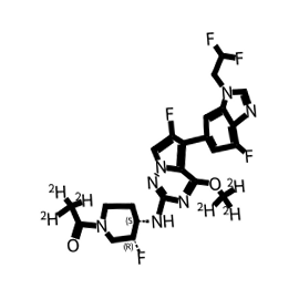 [2H]C([2H])([2H])Oc1nc(N[C@H]2CCN(C(=O)C([2H])([2H])[2H])C[C@H]2F)nn2cc(F)c(-c3cc(F)c4ncn(CC(F)F)c4c3)c12